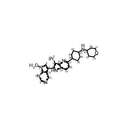 CC(C)c1c(-c2cn(C)c3ncncc23)[nH]c2ccc(C3CCC(NC4CCOCC4)CC3)nc12